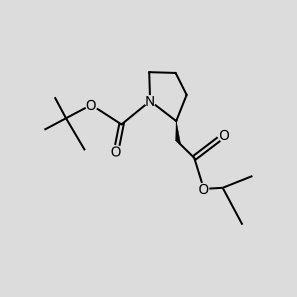 CC(C)OC(=O)C[C@@H]1CCCN1C(=O)OC(C)(C)C